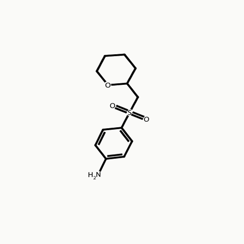 Nc1ccc(S(=O)(=O)CC2CCCCO2)cc1